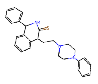 S=C1NC(c2ccccc2)c2ccccc2C1CCN1CCN(c2ccccc2)CC1